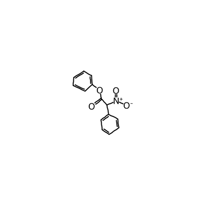 O=C(Oc1ccccc1)C(c1ccccc1)[N+](=O)[O-]